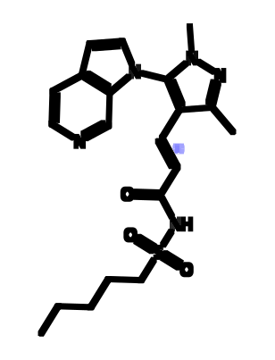 CCCCCS(=O)(=O)NC(=O)/C=C/c1c(C)nn(C)c1-n1ccc2ccncc21